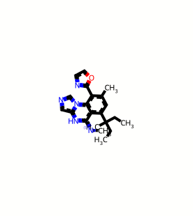 CCC(C)(CC)c1cc(C)c(-c2ncco2)c2c1/c(=N\C)[nH]c1cncn12